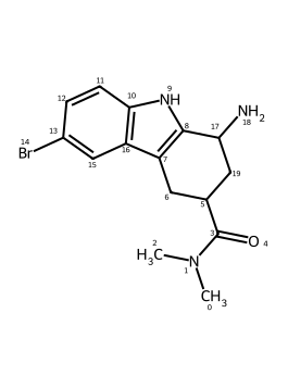 CN(C)C(=O)C1Cc2c([nH]c3ccc(Br)cc23)C(N)C1